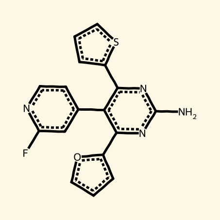 Nc1nc(-c2ccco2)c(-c2ccnc(F)c2)c(-c2cccs2)n1